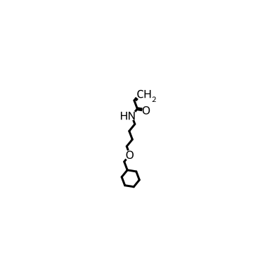 C=CC(=O)NCCCCOCC1CCCCC1